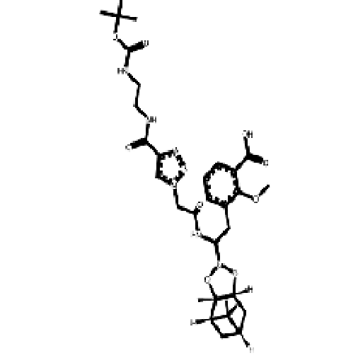 COc1c(CC(NC(=O)Cn2cc(C(=O)NCCNC(=O)OC(C)(C)C)nn2)B2O[C@@H]3C[C@@H]4C[C@@H](C4(C)C)[C@]3(C)O2)cccc1C(=O)O